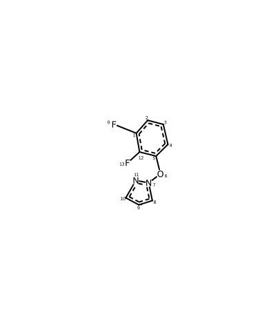 Fc1cccc(On2c[c]cn2)c1F